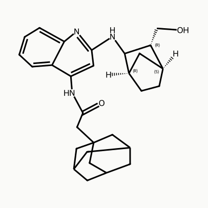 O=C(CC12CC3CC(CC(C3)C1)C2)Nc1cc(NC2[C@@H]3CC[C@@H](C3)[C@H]2CO)nc2ccccc12